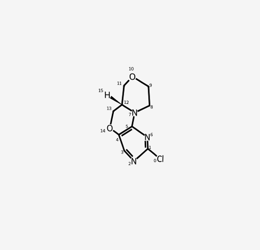 Clc1ncc2c(n1)N1CCOC[C@H]1CO2